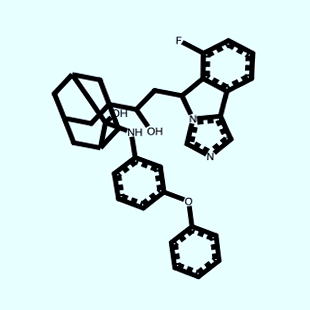 OC(CC1c2c(F)cccc2-c2cncn21)C12CC3CC(C1)C(O)(Nc1cccc(Oc4ccccc4)c1)C(C3)C2